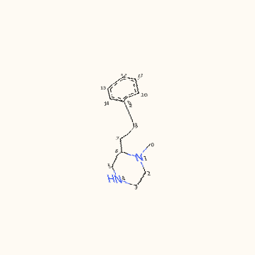 CN1CCNCC1CCc1c[c]ccc1